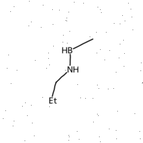 CBNCCC